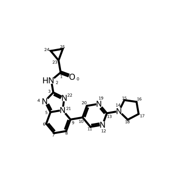 O=C(Nc1nc2cccc(-c3cnc(N4CCCC4)nc3)n2n1)C1CC1